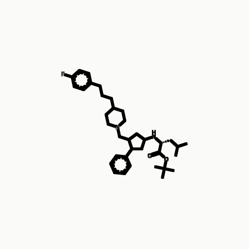 CC(C)C[C@@H](NC1CC(CN2CCC(CCCc3ccc(F)cc3)CC2)C(c2ccccc2)C1)C(=O)OC(C)(C)C